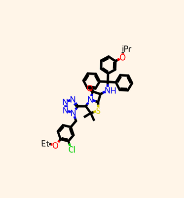 CCOc1ccc(Cn2nnnc2C2N3C(=O)C(NC(c4ccccc4)(c4ccccc4)c4cccc(OC(C)C)c4)C3SC2(C)C)cc1Cl